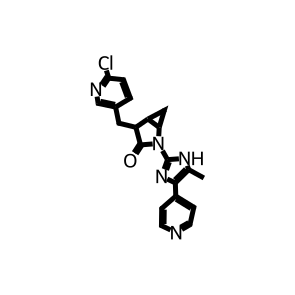 Cc1[nH]c(N2C(=O)C(Cc3ccc(Cl)nc3)C3CC32)nc1-c1ccncc1